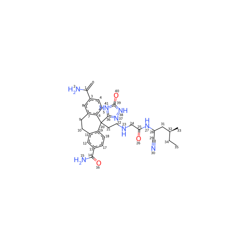 C=C(N)c1ccc2c(c1)CCc1cc(C(N)=O)ccc1C2(CCNCC(=O)NC(C#N)C[C@@H](C)CC)c1n[nH]c(=O)[nH]1